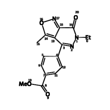 CCn1nc(-c2ccc(C(=O)OC)cc2)c2c(C)onc2c1=O